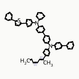 C=C/C=C\C=C(/C)c1ccc(N(c2ccc(-c3ccccc3)cc2)c2ccc(-c3ccc(N(c4ccccc4)c4ccc(-c5ccc(-c6ccccc6)s5)cc4)cc3)cc2)cc1